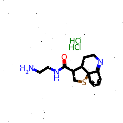 Cl.Cl.NCCNC(=O)C1CSC23C=CC=CC2=NCCC13